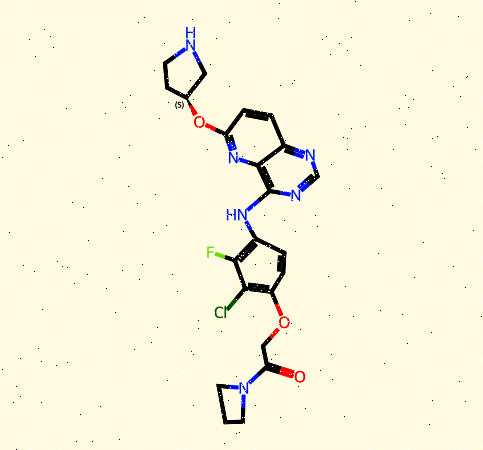 O=C(COc1ccc(Nc2ncnc3ccc(O[C@H]4CCNC4)nc23)c(F)c1Cl)N1CCC1